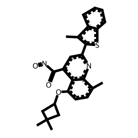 Cc1c(-c2cc(C(=O)N=O)c3c(OC4CC(C)(C)C4)ccc(C)c3n2)sc2ccccc12